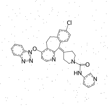 O=C(Nc1cccnc1)N1CCC(=C2c3ccc(Cl)cc3CCc3c(On4nnc5ccccc54)ccnc32)CC1